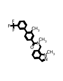 Cc1cc(C(=O)N(C)Cc2cccc3cnn(C)c23)ccc1-c1cccc(C(F)(F)F)c1